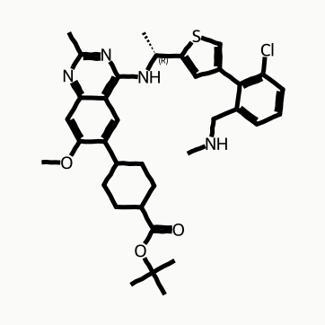 CNCc1cccc(Cl)c1-c1csc([C@@H](C)Nc2nc(C)nc3cc(OC)c(C4CCC(C(=O)OC(C)(C)C)CC4)cc23)c1